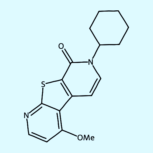 COc1ccnc2sc3c(=O)n(C4CCCCC4)ccc3c12